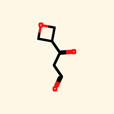 O=CCC(=O)C1COC1